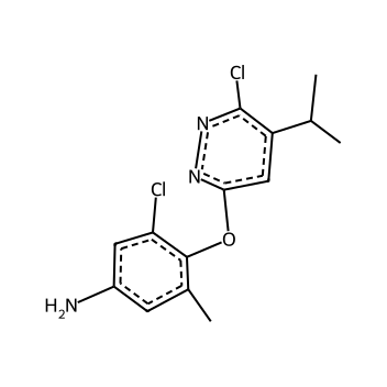 Cc1cc(N)cc(Cl)c1Oc1cc(C(C)C)c(Cl)nn1